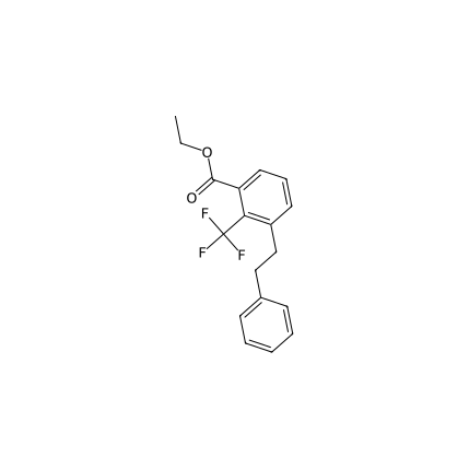 CCOC(=O)c1cccc(CCc2ccccc2)c1C(F)(F)F